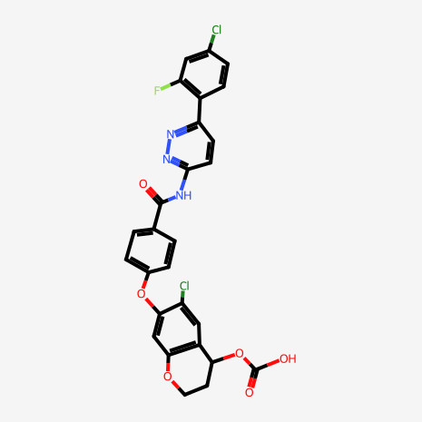 O=C(O)OC1CCOc2cc(Oc3ccc(C(=O)Nc4ccc(-c5ccc(Cl)cc5F)nn4)cc3)c(Cl)cc21